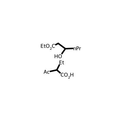 CCC(C(C)=O)C(=O)O.CCCC(O)CC(=O)OCC